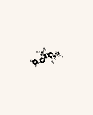 CC(C)Nc1nc2c(nc1N1CCC(Oc3ccc(F)cc3F)CC1)C(C)N(C(=O)N(C)C)CC2